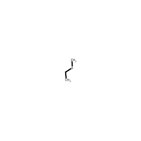 C[CH]SC